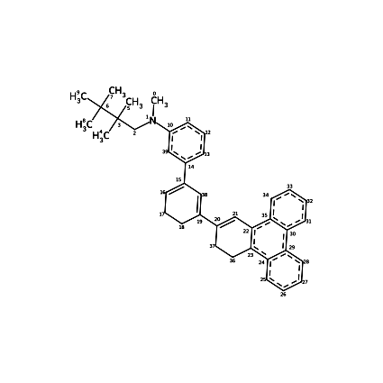 CN(CC(C)(C)C(C)(C)C)c1cccc(C2=CCCC(C3=Cc4c(c5ccccc5c5ccccc45)CC3)=C2)c1